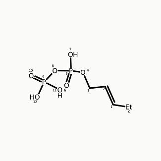 CCC=CCOP(=O)(O)OP(=O)(O)O